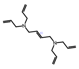 C=CCN(CC=C)C/C=C/CN(CC=C)CC=C